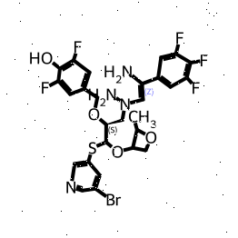 CC1OCC1OC(Sc1cncc(Br)c1)[C@H](CN(N)/C=C(\N)c1cc(F)c(F)c(F)c1)OCc1cc(F)c(O)c(F)c1